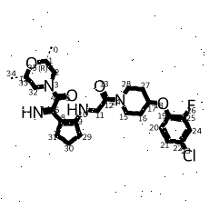 C[C@@H]1CN(C(=O)C(=N)C2=C(NCC(=O)N3CCC(Oc4ccc(Cl)cc4F)CC3)CCC2)C[C@H](C)O1